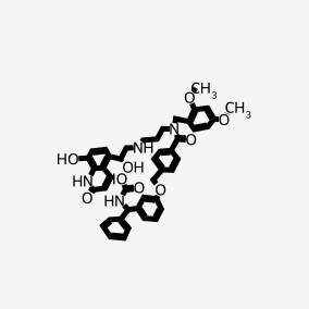 COc1ccc(CN(CCCNC[C@@H](O)c2ccc(O)c3[nH]c(=O)ccc23)C(=O)c2ccc(COc3cccc(C(NC(=O)O)c4ccccc4)c3)cc2)c(OC)c1